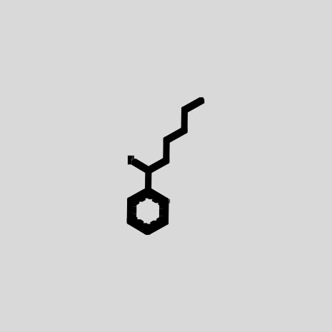 CCCCCC(F)c1[c]cccc1